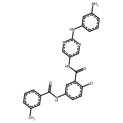 Cc1cccc(C(=O)Nc2ccc(Cl)c(C(=O)Nc3cnc(Nc4cccc(N)c4)nc3)c2)c1